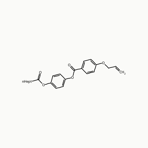 C=CCOc1ccc(C(=O)Oc2ccc(OC(=O)CCCCCCC)cc2)cc1